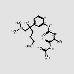 CCC(CCCC=O)(CN(C)C)c1cccc(OC(=O)NC(C(=O)OC(=O)C(F)(F)F)C(C)C)c1